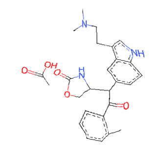 CC(=O)O.Cc1ccccc1C(=O)C(c1ccc2[nH]cc(CCN(C)C)c2c1)C1COC(=O)N1